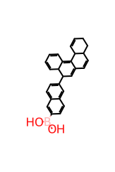 OB(O)c1ccc2cc(C3C=C4C=CC5CCC=CC5C4=C4C=CC=CC43)ccc2c1